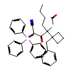 CCCCC(NC(=O)O)(C(=O)C(C#N)=P(c1ccccc1)(c1ccccc1)c1ccccc1)C1(Cc2ccccc2)CCC1